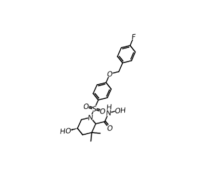 CC1(C)C[C@@H](O)CN(S(=O)(=O)c2ccc(OCc3ccc(F)cc3)cc2)C1C(=O)NO